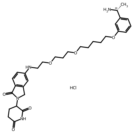 C[C@@H](N)c1cccc(OCCCCCOCCCOCCNc2ccc3c(c2)CN(C2CCC(=O)NC2=O)C3=O)c1.Cl